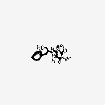 CCCn1c(=O)c2[nH]c(C(CO)Cc3ccccc3)nc2n(CCC)c1=O